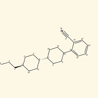 CCC[C@H]1CC[C@H](C2CCC(c3ccccc3C#N)CC2)CC1